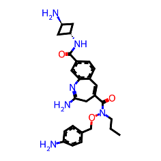 CCCN(OCc1ccc(N)cc1)C(=O)C1=Cc2ccc(C(=O)N[C@H]3C[C@H](N)C3)cc2N=C(N)C1